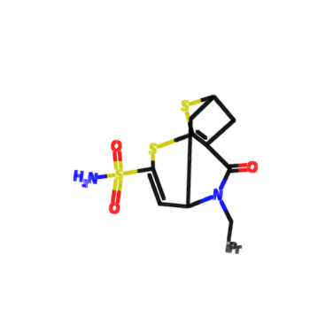 CC(C)CN1C(=O)C2=C3S/C(S(N)(=O)=O)=C\C1CC(C2)S3